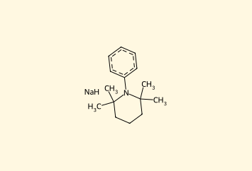 CC1(C)CCCC(C)(C)N1c1ccccc1.[NaH]